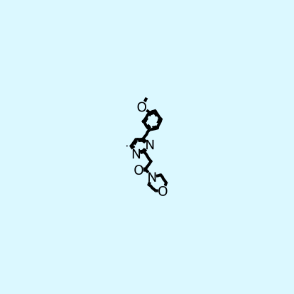 COc1cccc(-c2c[c]nc(CC(=O)N3CCOCC3)n2)c1